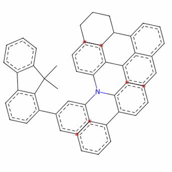 CC1(C)c2ccccc2-c2cccc(-c3cccc(N(c4ccccc4-c4ccccc4)c4ccccc4-c4cccc5cccc(C6CCCCC6)c45)c3)c21